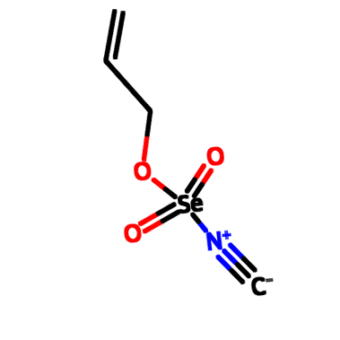 [C-]#[N+][Se](=O)(=O)OCC=C